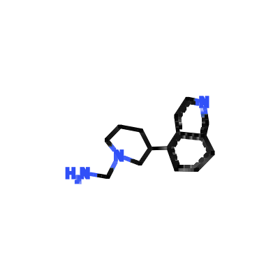 NCN1CCCC(c2cccc3cnccc23)C1